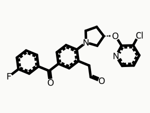 O=CCc1cc(C(=O)c2cccc(F)c2)ccc1N1CC[C@H](Oc2ncccc2Cl)C1